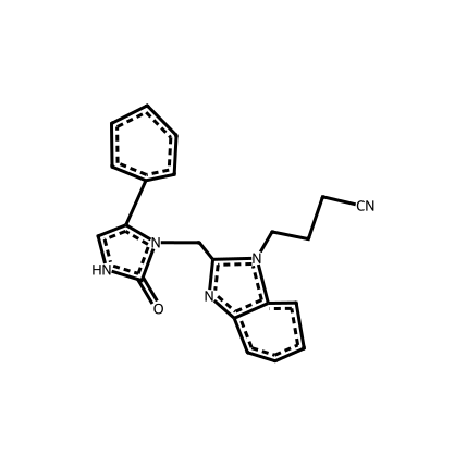 N#CCCCn1c(Cn2c(-c3ccccc3)c[nH]c2=O)nc2ccccc21